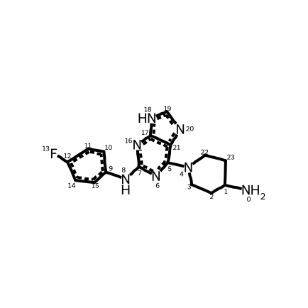 NC1CCN(c2nc(Nc3ccc(F)cc3)nc3[nH]cnc23)CC1